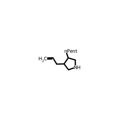 C=CCC1CNCC1CCCCC